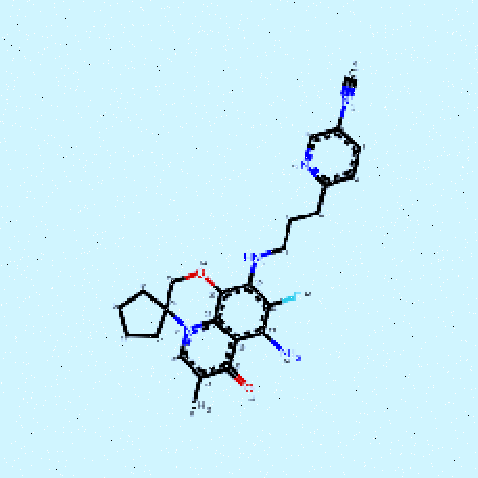 [C-]#[N+]c1ccc(CCCNc2c(F)c(N)c3c(=O)c(C)cn4c3c2OCC42CCCC2)nc1